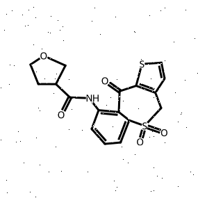 O=C1c2sccc2CS(=O)(=O)c2cccc(NC(=O)C3CCOC3)c21